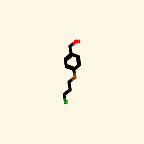 OCc1ccc(SCCCCl)cc1